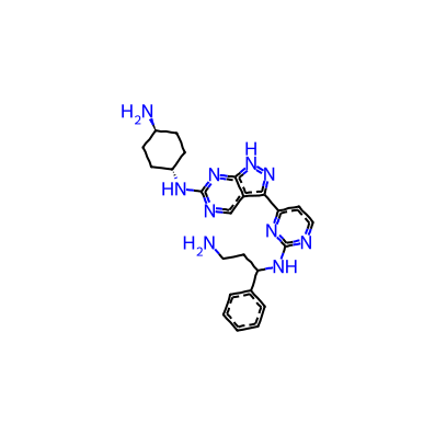 NCCC(Nc1nccc(-c2n[nH]c3nc(N[C@H]4CC[C@H](N)CC4)ncc23)n1)c1ccccc1